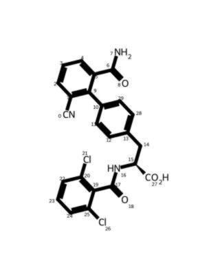 N#Cc1cccc(C(N)=O)c1-c1ccc(C[C@H](NC(=O)c2c(Cl)cccc2Cl)C(=O)O)cc1